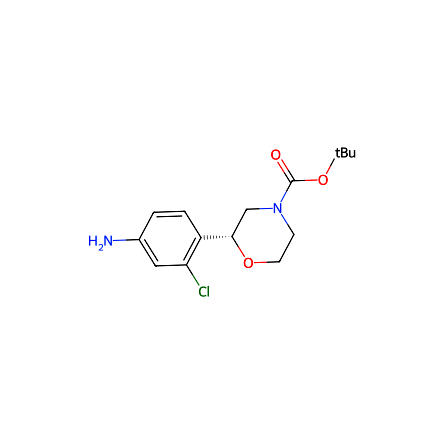 CC(C)(C)OC(=O)N1CCO[C@H](c2ccc(N)cc2Cl)C1